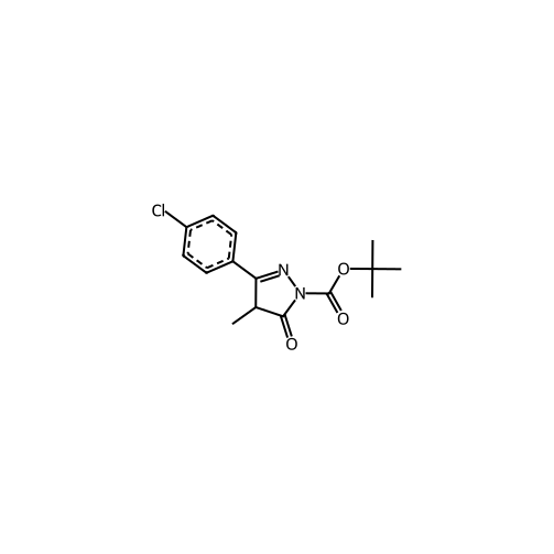 CC1C(=O)N(C(=O)OC(C)(C)C)N=C1c1ccc(Cl)cc1